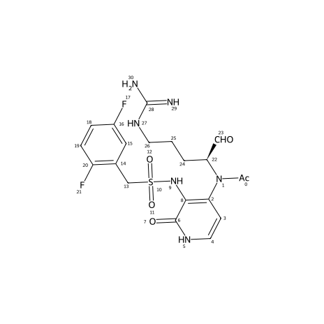 CC(=O)N(c1cc[nH]c(=O)c1NS(=O)(=O)Cc1cc(F)ccc1F)[C@H](C=O)CCCNC(=N)N